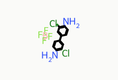 F[B-](F)(F)F.Nc1ccc(-c2ccc(N)c(Cl)c2)cc1Cl